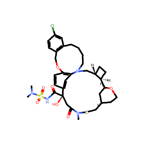 CN1CC[C@H]2CCO[C@@H](C2)[C@@H]2CC[C@H]2CN2CCCCc3cc(Cl)ccc3COc3ccc(cc32)[C@@](O)(C(=O)NS(=O)(=O)N(C)C)CC1=O